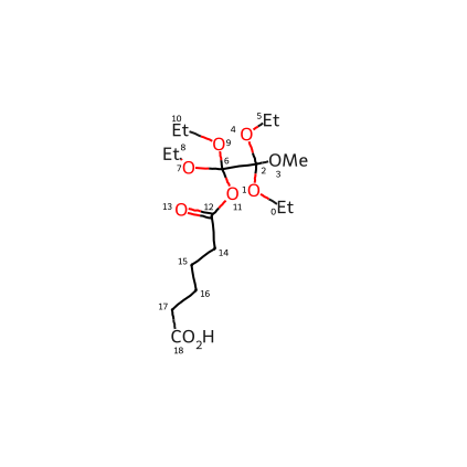 CCOC(OC)(OCC)C(OCC)(OCC)OC(=O)CCCCC(=O)O